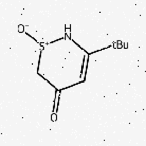 CC(C)(C)C1=CC(=O)C[S+]([O-])N1